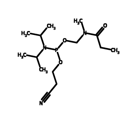 CCC(=O)N(C)COP(OCCC#N)N(C(C)C)C(C)C